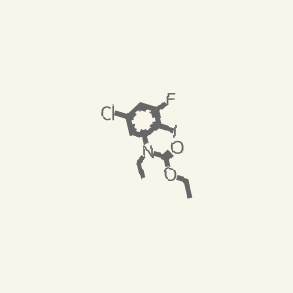 CCOC(=O)N(CC)c1cc(Cl)cc(F)c1I